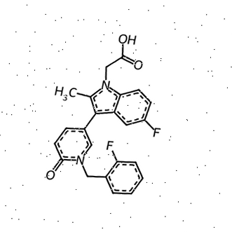 Cc1c(-c2ccc(=O)n(Cc3ccccc3F)c2)c2cc(F)ccc2n1CC(=O)O